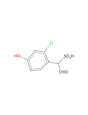 O=[C]C(c1ccc(O)cc1Cl)S(=O)(=O)O